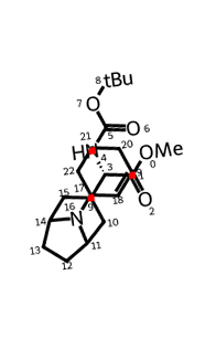 COC(=O)[C@@H](NC(=O)OC(C)(C)C)C1CC2CCC(C1)N2C1C=CCCC1